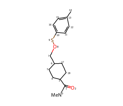 CNC(=O)C1CCC(COSc2ccc(C)cc2)CC1